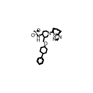 CS(=O)(=O)NC1CCN(c2cccc3ncnn23)CC1COC1CCC(c2ccccc2)CC1